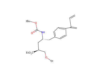 C=CC(=C)c1ccc(C[C@H](C[C@@H](COCC)C(=O)OCC)NC(=O)OC(C)(C)C)cc1